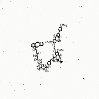 CCC(C)[C@H](NC(=O)[C@@H]1CCCN1C(=O)CNC(=O)CNC(=O)CCC(=O)N1Cc2ccccc2C#Cc2ccccc21)C(=O)Nc1ccc(COC(=O)N2c3cc(OCCCOc4cc5c(cc4OC)C(=O)N4C=C(c6ccc(OC)cc6)C[C@H]4CN5)c(OC)cc3C(=O)N3CC4(CC4)C[C@H]3C2O)cc1